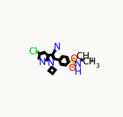 CC(C)NS(=O)(=O)c1ccc(-c2c(C#N)c3cc(Cl)cnc3n2C2CCC2)cc1